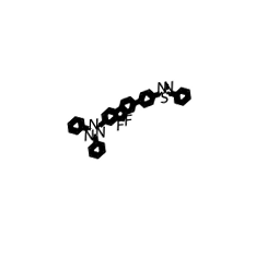 FC1(F)c2cc(-c3ccc(-c4nnc(-c5ccccc5)s4)cc3)ccc2-c2ccc(-c3nc(-c4ccccc4)nc(-c4ccccc4)n3)cc21